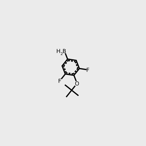 Bc1cc(F)c(OC(C)(C)C)c(F)c1